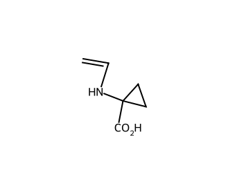 C=CNC1(C(=O)O)CC1